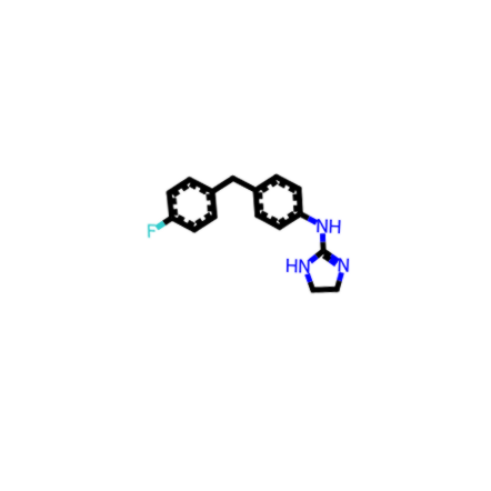 Fc1ccc(Cc2ccc(NC3=NCCN3)cc2)cc1